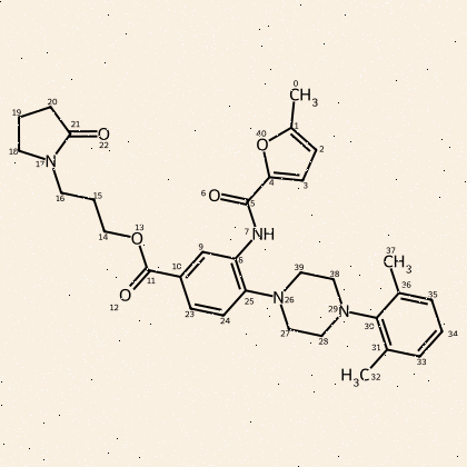 Cc1ccc(C(=O)Nc2cc(C(=O)OCCCN3CCCC3=O)ccc2N2CCN(c3c(C)cccc3C)CC2)o1